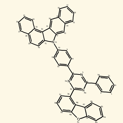 c1ccc(-c2nc(-c3ccc(-n4c5cc6ccccc6cc5c5c6ccccc6ccc54)cc3)nc(-c3cccc4oc5ccccc5c34)n2)cc1